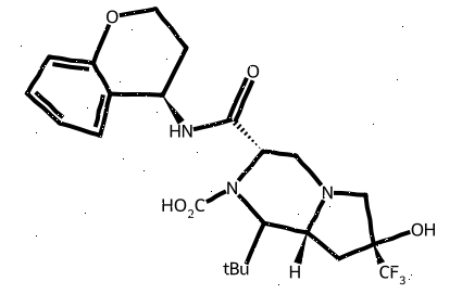 CC(C)(C)C1[C@H]2C[C@](O)(C(F)(F)F)CN2C[C@@H](C(=O)N[C@@H]2CCOc3ccccc32)N1C(=O)O